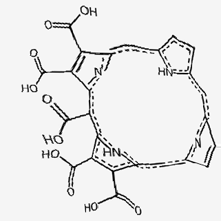 O=C(O)C1=C(C(=O)O)c2nc1cc1ccc(cc3nc(cc4[nH]c(c2C(=O)O)c(C(=O)O)c4C(=O)O)C=C3)[nH]1